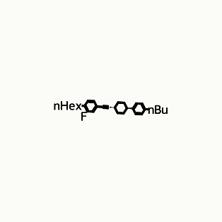 CCCCCCc1ccc(C#C[C@H]2CC[C@H](c3ccc(CCCC)cc3)CC2)cc1F